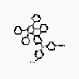 Cc1ccc(N(c2ccc(C#N)cc2)c2ccc3c(c2)c2ccccc2c2c(-c4ccccc4)cc(-c4ccccc4)c(C4=CC=CCC4)c32)cc1